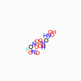 C[C@@H](NC(=O)O)c1ccc(NC(=O)[C@H](O)[C@H]2OCCN(c3ccc(F)c(C(=O)N4CCOCC4)c3)C2=O)cc1